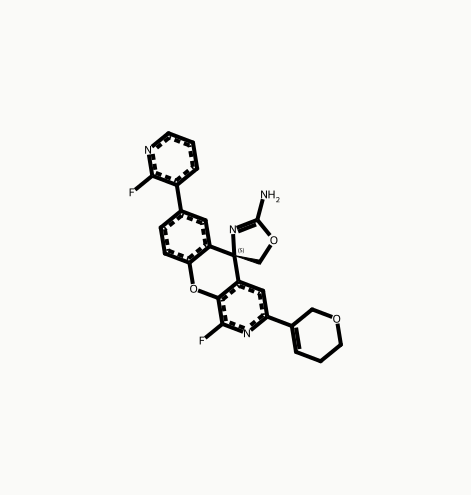 NC1=N[C@@]2(CO1)c1cc(-c3cccnc3F)ccc1Oc1c2cc(C2=CCCOC2)nc1F